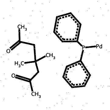 CC(=O)CC(C)(C)CC(C)=O.[Pd][P](c1ccccc1)c1ccccc1